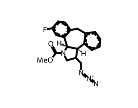 COC(=O)N1CC(CN=[N+]=[N-])[C@@H]2c3ccccc3Cc3ccc(F)cc3[C@H]21